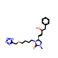 CN1C[C@H](C=CC(O)Cc2ccccc2)N(CCCCSCc2nnn[nH]2)C1=O